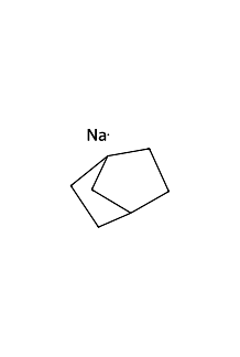 C1CC2CCC1C2.[Na]